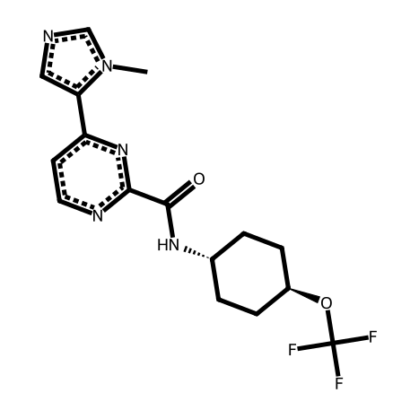 Cn1cncc1-c1ccnc(C(=O)N[C@H]2CC[C@H](OC(F)(F)F)CC2)n1